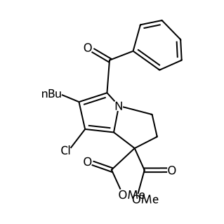 CCCCc1c(Cl)c2n(c1C(=O)c1ccccc1)CCC2(C(=O)OC)C(=O)OC